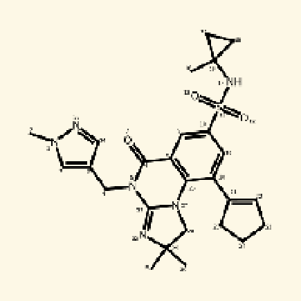 Cn1cc(CN2C(=O)c3cc(S(=O)(=O)NC4(C)CC4)cc(C4=CCCC4)c3N3CC(C)(C)N=C23)cn1